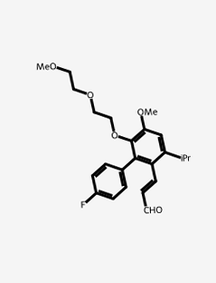 COCCOCCOc1c(OC)cc(C(C)C)c(C=CC=O)c1-c1ccc(F)cc1